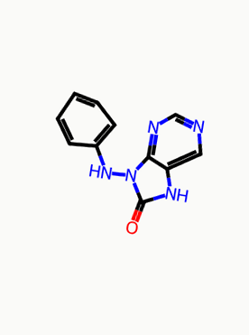 O=c1[nH]c2cncnc2n1Nc1ccccc1